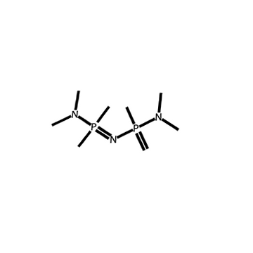 C=P(C)(N=P(C)(C)N(C)C)N(C)C